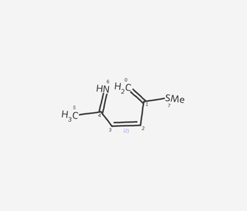 C=C(/C=C\C(C)=N)SC